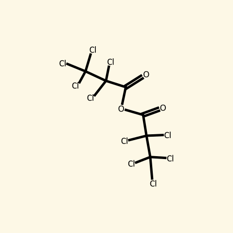 O=C(OC(=O)C(Cl)(Cl)C(Cl)(Cl)Cl)C(Cl)(Cl)C(Cl)(Cl)Cl